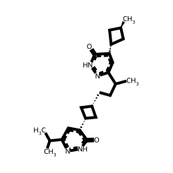 CC(C)c1cc([C@H]2C[C@@H](CCC(C)c3cc([C@H]4C[C@H](C)C4)c(=O)[nH]n3)C2)c(=O)[nH]n1